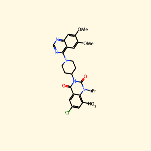 CCCn1c(=O)n(C2CCN(c3ncnc4cc(OC)c(OC)cc34)CC2)c(=O)c2cc(Cl)cc([N+](=O)[O-])c21